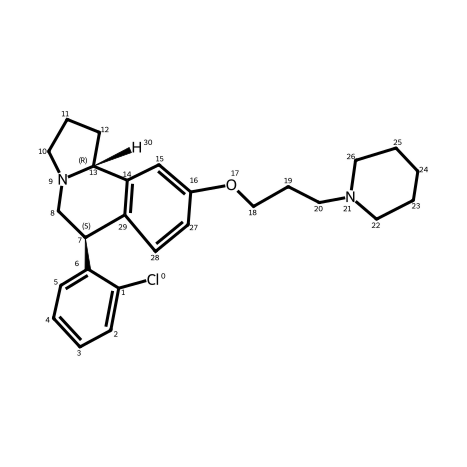 Clc1ccccc1[C@H]1CN2CCC[C@@H]2c2cc(OCCCN3CCCCC3)ccc21